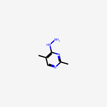 Cc1ncc(C)c(NN)n1